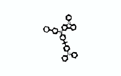 CC(C)(c1ccc(N(c2ccccc2)c2ccccc2)cc1)c1ccc(N(c2ccc(C3CCCCC3)cc2)c2ccc3c(c2)c2ccccc2n3-c2ccccc2)cc1